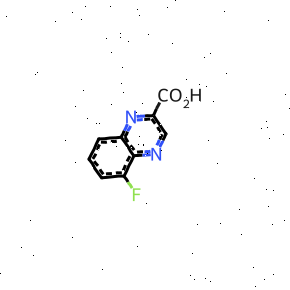 O=C(O)c1cnc2c(F)cccc2n1